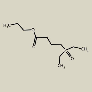 CCCOC(=O)CCCP(=O)(CC)CC